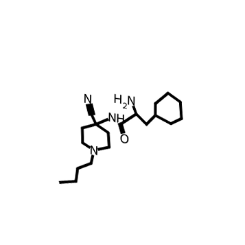 CCCCN1CCC(C#N)(NC(=O)C(N)CC2CCCCC2)CC1